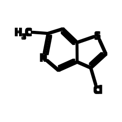 Cc1cc2scc(Cl)c2cn1